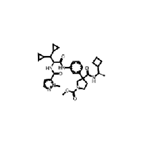 COC(=O)N1CCC(C(=O)N[C@H](C)C2CCC2)(c2cccc(NC(=O)[C@@H](NC(=O)c3ccnn3C)C(C3CC3)C3CC3)c2)C1